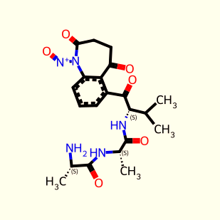 CC(C)[C@H](NC(=O)[C@H](C)NC(=O)[C@H](C)N)C(=O)c1cccc2c1C(=O)CCC(=O)N2[N+]=O